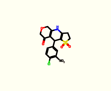 O=C1COCC2=C1C(c1ccc(Cl)c([N+](=O)[O-])c1)C1=C(CCS1(=O)=O)N2